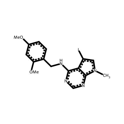 COc1ccc(CNc2ncnc3c2c(I)cn3C)c(OC)c1